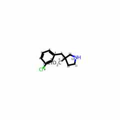 CCOC(=O)C1(Cc2cccc(Cl)c2)CCNC1